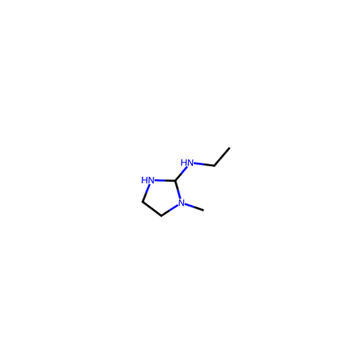 CCNC1NCCN1C